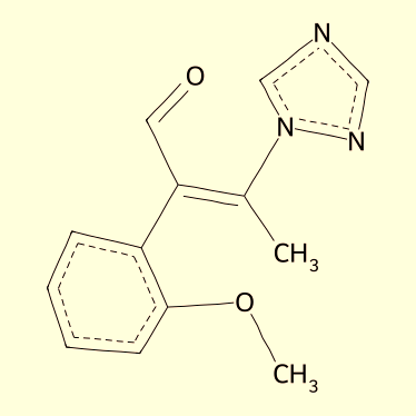 COc1ccccc1C(C=O)=C(C)n1cncn1